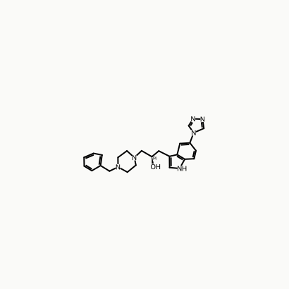 O[C@H](Cc1c[nH]c2ccc(-n3cnnc3)cc12)CN1CCN(Cc2ccccc2)CC1